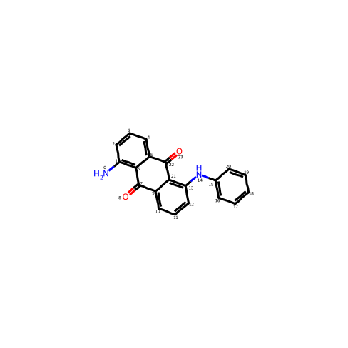 Nc1cccc2c1C(=O)c1cccc(Nc3ccccc3)c1C2=O